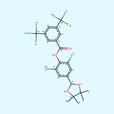 CC1(C)OB(c2cc(F)c(OC(=O)c3cc(C(F)(F)F)cc(C(F)(F)F)c3)c(Cl)c2)OC1(C)C